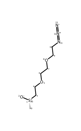 C[S@+]([O-])CCOCCOCCN=[N+]=[N-]